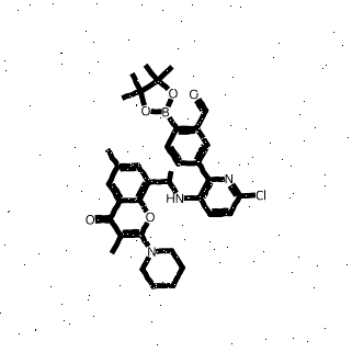 Cc1cc(C(C)Nc2ccc(Cl)nc2-c2ccc(B3OC(C)(C)C(C)(C)O3)c(C=O)c2)c2oc(N3CCCCC3)c(C)c(=O)c2c1